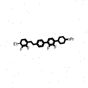 CCCC1CCC(c2ccc(-c3ccc(CCC4=CC[C@H](CC)C(F)=C4F)cc3)c(F)c2F)CC1